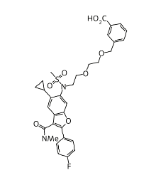 CNC(=O)c1c(-c2ccc(F)cc2)oc2cc(N(CCOCCOCc3cccc(C(=O)O)c3)S(C)(=O)=O)c(C3CC3)cc12